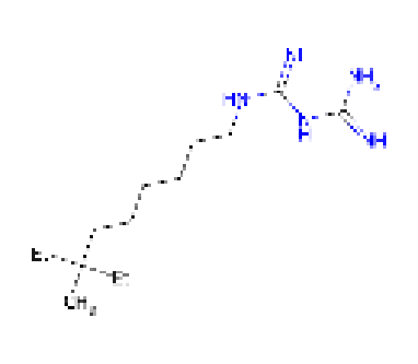 CCC(C)(CC)CCCCCCNC(=N)NC(=N)N